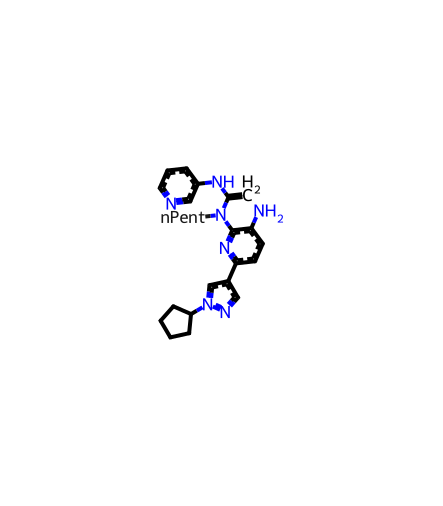 C=C(Nc1cccnc1)N(CCCCC)c1nc(-c2cnn(C3CCCC3)c2)ccc1N